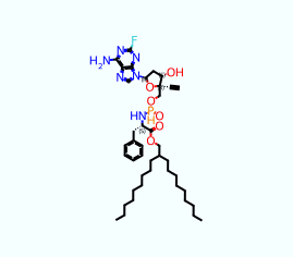 C#C[C@]1(CO[PH](=O)N[C@@H](Cc2ccccc2)C(=O)OCC(CCCCCCCCC)CCCCCCCCC)O[C@@H](n2cnc3c(N)nc(F)nc32)C[C@@H]1O